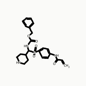 C=CC(=O)Nc1ccc(S(=O)(=O)C(NC(=O)OCc2ccccc2)C2CCNCC2)cc1